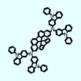 c1ccc(-n2c3ccccc3c3cc(N(c4ccc5c6c(ccc5c4)-c4ccc5cc(N(c7ccc8c(c7)c7ccccc7n8-c7ccccc7)c7ccc8c(c7)c7ccccc7n8-c7ccccc7)ccc5c4C64c5ccccc5-c5ccccc54)c4ccc5c(c4)c4ccccc4n5-c4ccccc4)ccc32)cc1